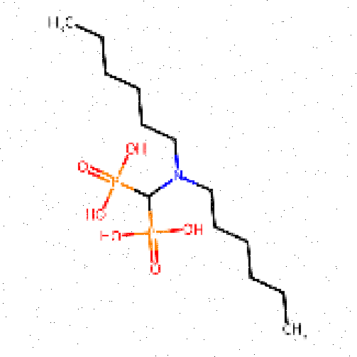 CCCCCCN(CCCCCC)C(P(=O)(O)O)P(=O)(O)O